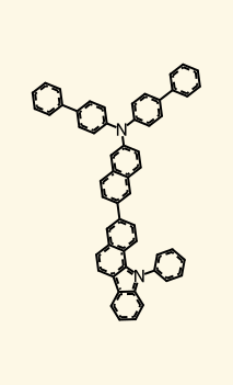 c1ccc(-c2ccc(N(c3ccc(-c4ccccc4)cc3)c3ccc4cc(-c5ccc6c(ccc7c8ccccc8n(-c8ccccc8)c67)c5)ccc4c3)cc2)cc1